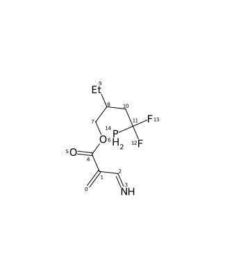 C=C(C=N)C(=O)OCC(CC)CC(F)(F)P